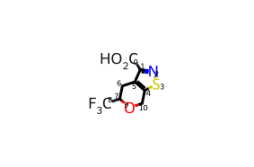 O=C(O)c1nsc2c1CC(C(F)(F)F)OC2